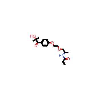 C=CC(=O)NC(C)COCCOc1ccc(C(=O)C(C)(C)O)cc1